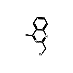 Cc1nc(CBr)nc2ccccc12